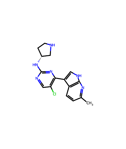 Cc1ccc2c(-c3nc(N[C@@H]4CCNC4)ncc3Cl)c[nH]c2n1